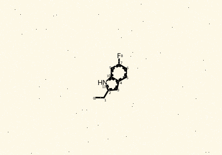 [CH2]Cc1cc2ccc(F)cc2[nH]1